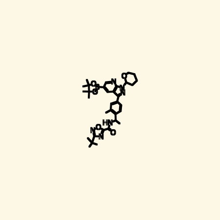 Cc1cc(-c2nn(C3CCCCO3)c3ncc(B4OC(C)(C)C(C)(C)O4)cc23)ccc1C(C)NC(=O)c1nc(C(C)(C)C)no1